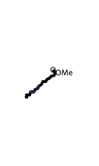 C=CC/C=C/C/C=C/CCCCCCCC(=O)OC